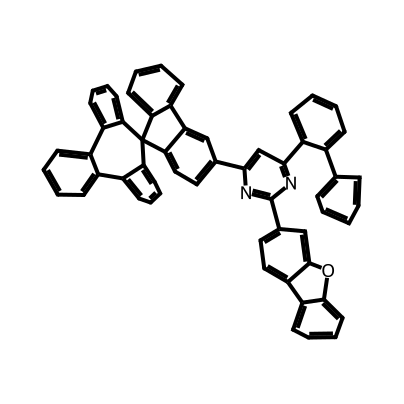 c1ccc(-c2ccccc2-c2cc(-c3ccc4c(c3)-c3ccccc3C43c4ccccc4-c4ccccc4-c4ccccc43)nc(-c3ccc4c(c3)oc3ccccc34)n2)cc1